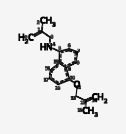 C=C(C)CNc1cccc2c(OCC(=C)C)cccc12